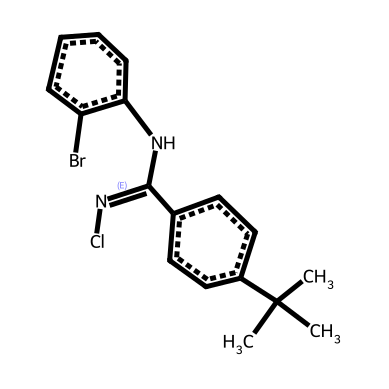 CC(C)(C)c1ccc(/C(=N\Cl)Nc2ccccc2Br)cc1